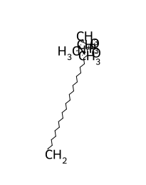 C=CCCCCCCCCCCCCCCCCCCCCCC(CCC)(P(=O)=O)[N+](C)(C)C